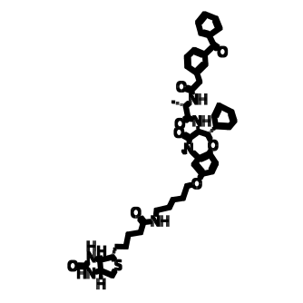 C[C@H](NC(=O)Cc1cccc(C(=O)c2ccccc2)c1)C(=O)N[C@H]1C(=O)N(C)c2cc(OCCCCCNC(=O)CCCC[C@@H]3SC[C@@H]4NC(=O)N[C@@H]43)ccc2O[C@H]1c1ccccc1